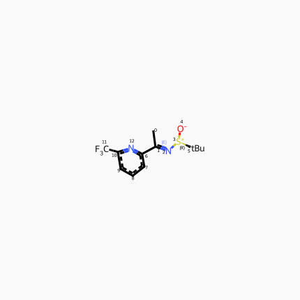 C/C(=N\[S@@+]([O-])C(C)(C)C)c1cccc(C(F)(F)F)n1